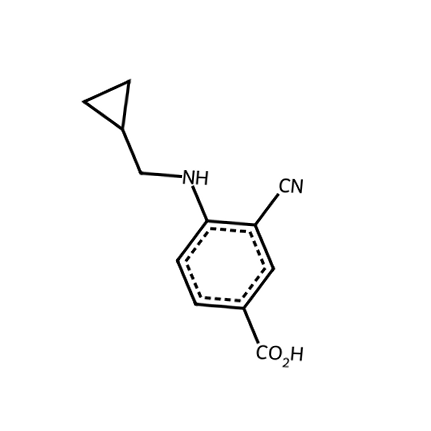 N#Cc1cc(C(=O)O)ccc1NCC1CC1